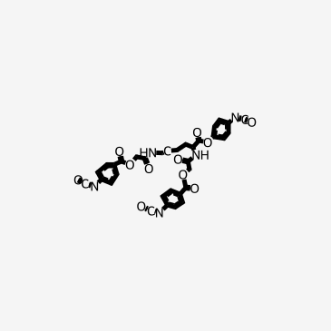 O=C=Nc1ccc(OC(=O)C(CCCCNC(=O)COC(=O)c2ccc(N=C=O)cc2)NC(=O)COC(=O)c2ccc(N=C=O)cc2)cc1